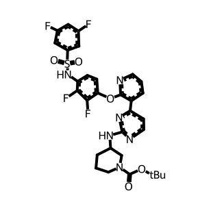 CC(C)(C)OC(=O)N1CCCC(Nc2nccc(-c3cccnc3Oc3ccc(NS(=O)(=O)c4cc(F)cc(F)c4)c(F)c3F)n2)C1